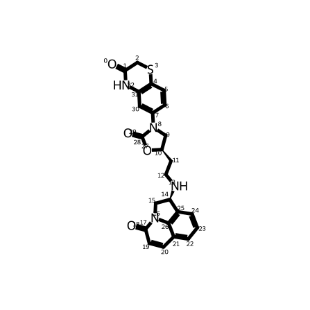 O=C1CSc2ccc(N3C[C@@H](CCN[C@@H]4Cn5c(=O)ccc6cccc4c65)OC3=O)cc2N1